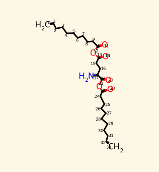 C=CCCCCCCCCC(=O)OC(=O)CCC(N)C(=O)OC(=O)CCCCCCCCC=C